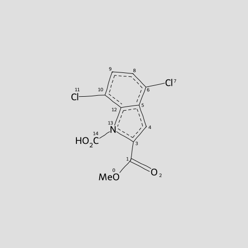 COC(=O)c1cc2c(Cl)ccc(Cl)c2n1C(=O)O